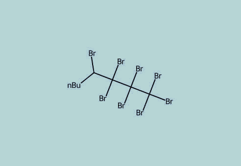 CCCCC(Br)C(Br)(Br)C(Br)(Br)C(Br)(Br)Br